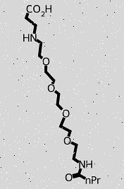 CCCC(=O)NCCOCCOCCOCCOCCNCCC(=O)O